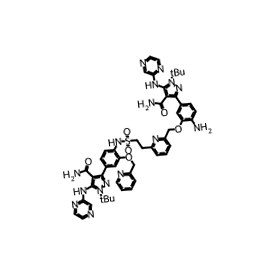 CC(C)(C)n1nc(-c2ccc(N)c(OCc3cccc(CCS(=O)(=O)Nc4ccc(-c5nn(C(C)(C)C)c(Nc6cnccn6)c5C(N)=O)cc4OCc4ccccn4)n3)c2)c(C(N)=O)c1Nc1cnccn1